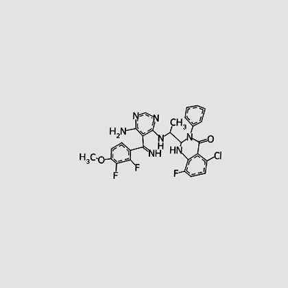 COc1ccc(C(=N)c2c(N)ncnc2NC(C)C2Nc3c(F)ccc(Cl)c3C(=O)N2c2ccccc2)c(F)c1F